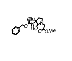 CCC(C)C1(NC(=O)OCc2ccccc2)CCN(CC(=O)OC)C1=O